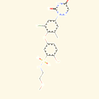 COCCNS(=O)(=O)c1cc(Oc2c(C)cc(-n3ncc(=O)[nH]c3=O)cc2Cl)ccc1O